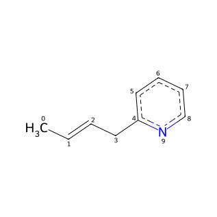 CC=CCc1ccccn1